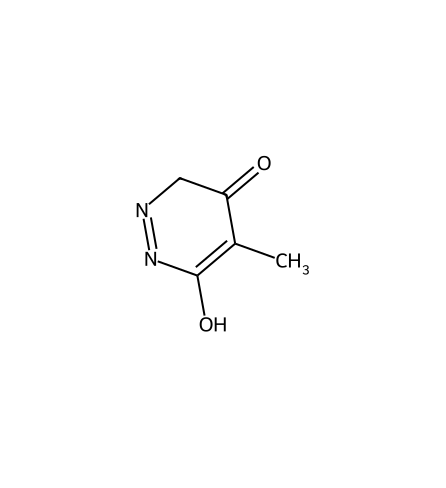 CC1=C(O)N=NCC1=O